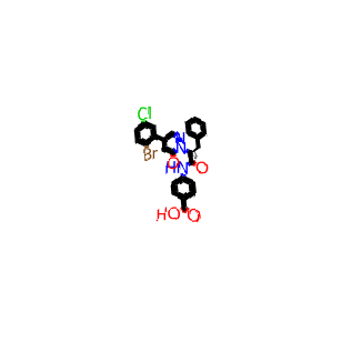 O=C(O)c1ccc(NC(=O)[C@H](Cc2ccccc2)n2ncc(-c3cc(Cl)ccc3Br)cc2=O)cc1